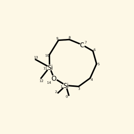 C[Si]1(C)CCCCCCCC[Si](C)(C)O1